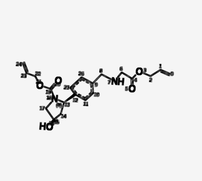 C=CCOC(=O)CNCc1ccc([C@H]2C[C@@H](O)CN2C(=O)OCC=C)cc1